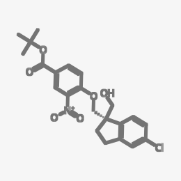 CC(C)(C)OC(=O)c1ccc(OC[C@@]2(CO)CCc3cc(Cl)ccc32)c([N+](=O)[O-])c1